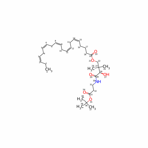 CC/C=C\C/C=C\C/C=C\C/C=C\C/C=C\CCCC(=O)OCC(C)(C)[C@@H](O)C(=O)NCCC(=O)OC(C)(C)C